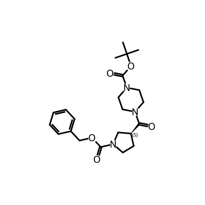 CC(C)(C)OC(=O)N1CCN(C(=O)[C@H]2CCN(C(=O)OCc3ccccc3)C2)CC1